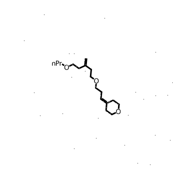 C=C(CCOCCC)CCOCCC=C1CCOCC1